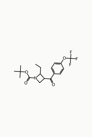 CCC1C(C(=O)c2ccc(OC(F)(F)F)cc2)CN1C(=O)OC(C)(C)C